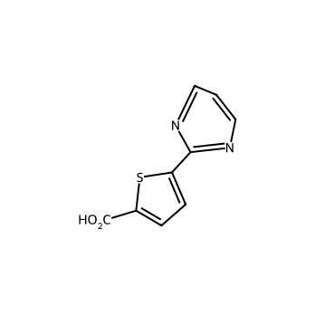 O=C(O)c1ccc(-c2ncccn2)s1